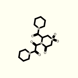 O=C(C(=O)N1C(=O)CS(=O)(=O)CC1C(=O)N1CCCCC1)N1CCCCC1